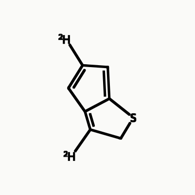 [2H]C1=CC2=C([2H])CSC2=C1